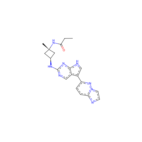 CCC(=O)N[C@]1(C)C[C@@H](Nc2ncc3c(-c4ccc5nccn5n4)c[nH]c3n2)C1